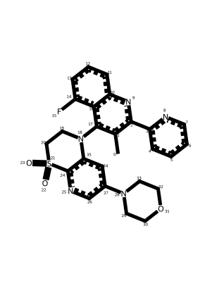 Cc1c(-c2ccccn2)nc2cccc(F)c2c1N1CCS(=O)(=O)c2ncc(N3CCOCC3)cc21